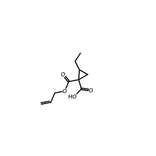 C=CCOC(=O)C1(C(=O)O)CC1CC